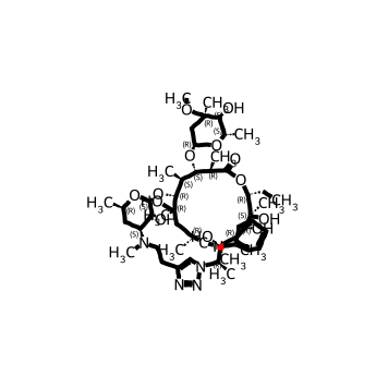 CC[C@H]1OC(=O)[C@H](C)[C@@H](O[C@H]2C[C@@](C)(OC)[C@@H](O)[C@H](C)O2)[C@H](C)[C@@H](O[C@@H]2O[C@H](C)C[C@H](N(C)CCc3cn([C@H](C)[C@H](O)c4ccccc4)nn3)[C@H]2O)[C@](C)(O)C[C@@H](C)CN(C)[C@H](C)[C@@H](O)[C@]1(C)O